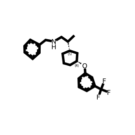 CC(CNCc1ccccc1)[C@H]1CCC[C@@H](Oc2cccc(C(F)(F)F)c2)C1